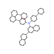 c1ccc(-c2ccc(N(c3ccc(-c4cccc5cccc(-c6ccccc6)c45)cc3)c3cc(-c4ccc5ccccc5c4)cc4ccccc34)cc2)cc1